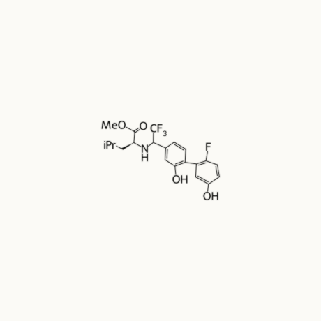 COC(=O)[C@H](CC(C)C)NC(c1ccc(-c2cc(O)ccc2F)c(O)c1)C(F)(F)F